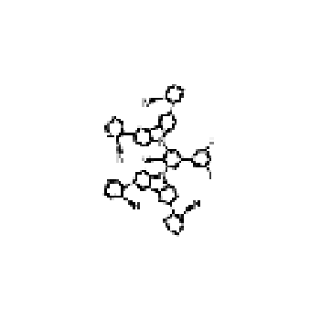 N#Cc1ccccc1-c1ccc2c(c1)c1cc(-c3ccccc3C#N)ccc1n2-c1cc(-c2cc(F)cc(F)c2)cc(-n2c3ccc(-c4ccccc4C#N)cc3c3cc(-c4ccccc4C#N)ccc32)c1C#N